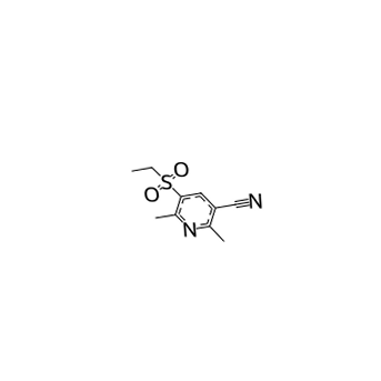 CCS(=O)(=O)c1cc(C#N)c(C)nc1C